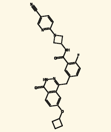 N#Cc1ccc(N2CC(NC(=O)c3cc(Cc4n[nH]c(=O)c5ccc(OC6CCC6)cc45)ccc3F)C2)nc1